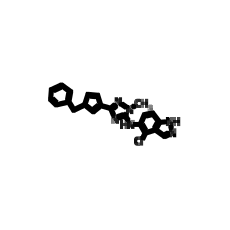 Cn1nc(C2=CC(Cc3ccccc3)C=C2)nc1Nc1ccc2[nH]ncc2c1Cl